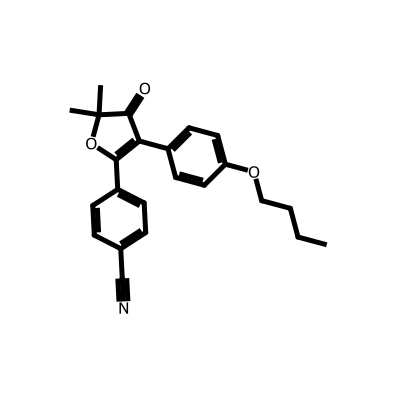 CCCCOc1ccc(C2=C(c3ccc(C#N)cc3)OC(C)(C)C2=O)cc1